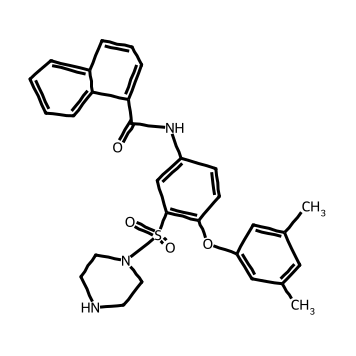 Cc1cc(C)cc(Oc2ccc(NC(=O)c3cccc4ccccc34)cc2S(=O)(=O)N2CCNCC2)c1